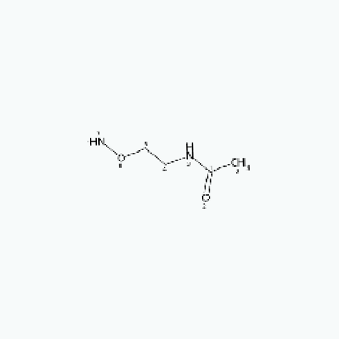 CC(=O)NCCO[NH]